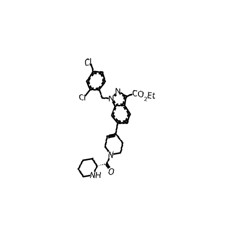 CCOC(=O)c1nn(Cc2ccc(Cl)cc2Cl)c2cc(C3=CCN(C(=O)[C@H]4CCCCN4)CC3)ccc12